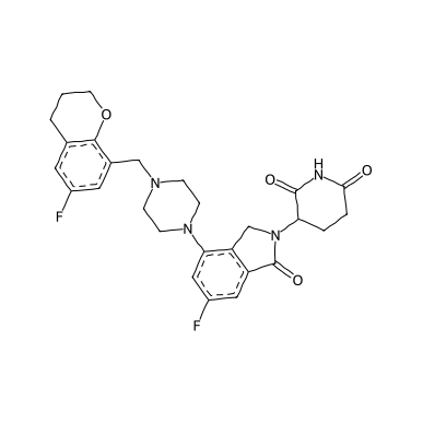 O=C1CCC(N2Cc3c(cc(F)cc3N3CCN(Cc4cc(F)cc5c4OCCC5)CC3)C2=O)C(=O)N1